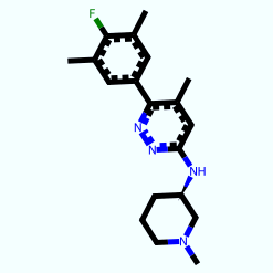 Cc1cc(N[C@@H]2CCCN(C)C2)nnc1-c1cc(C)c(F)c(C)c1